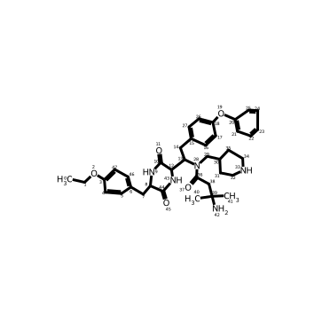 CCOc1ccc(CC2NC(=O)C(C(Cc3ccc(Oc4ccccc4)cc3)N(CC3CCNCC3)C(=O)CC(C)(C)N)NC2=O)cc1